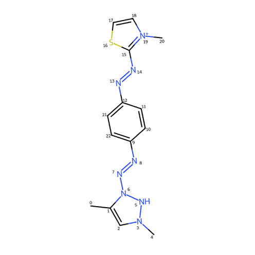 CC1=CN(C)NN1N=Nc1ccc(N=Nc2scc[n+]2C)cc1